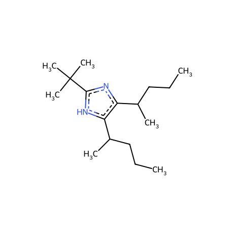 CCCC(C)c1nc(C(C)(C)C)[nH]c1C(C)CCC